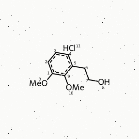 COc1cccc(CCO)c1OC.Cl